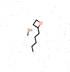 CCCCCC1CCO1.CS